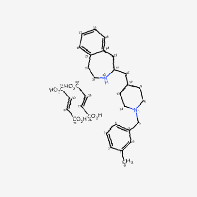 Cc1cccc(CN2CCC(CC3Cc4ccccc4CCN3)CC2)c1.O=C(O)/C=C/C(=O)O.O=C(O)/C=C/C(=O)O